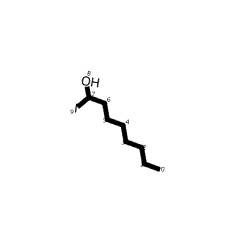 CCCCCCCC(O)I